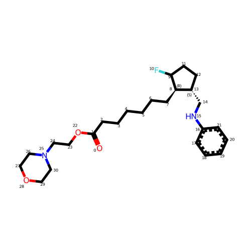 O=C(CCCCCC[C@H]1C(F)CC[C@@H]1CNc1ccccc1)OCCN1CCOCC1